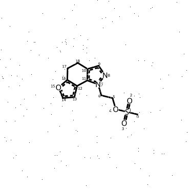 CS(=O)(=O)OCCn1ncc2c1-c1ccoc1CC2